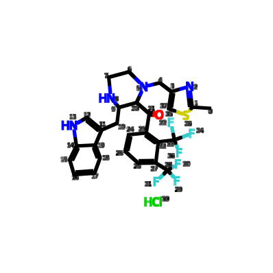 Cc1nc(CN2CCNC(Cc3c[nH]c4ccccc34)C2C(=O)c2cccc(C(F)(F)F)c2C(F)(F)F)cs1.Cl